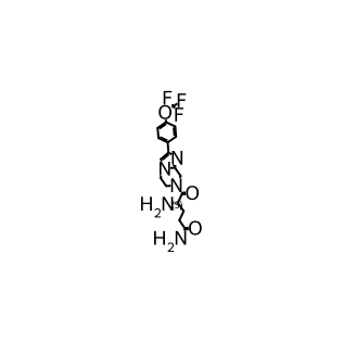 NC(=O)CC[C@H](N)C(=O)N1CCn2cc(-c3ccc(OC(F)(F)F)cc3)nc2C1